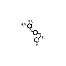 CCC(Oc1ccc(Oc2ccc(N)c(N)c2)cc1)C1CCCNC1